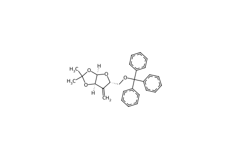 C=C1[C@H]2OC(C)(C)O[C@H]2O[C@@H]1COC(c1ccccc1)(c1ccccc1)c1ccccc1